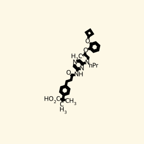 CCCN(C[C@@H](C)Oc1ccccc1OC1CCC1)c1cncc(NC(=O)CCc2ccc(C(C)(C)C(=O)O)cc2)n1